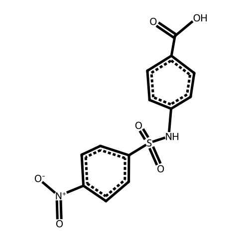 O=C(O)c1ccc(NS(=O)(=O)c2ccc([N+](=O)[O-])cc2)cc1